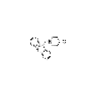 O=C1CCN(CC23CC(c4ccccc42)c2ccccc23)CC1